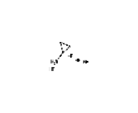 BC1CC1.F.F.F.[KH]